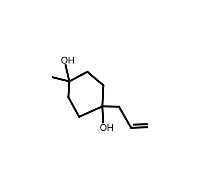 C=CCC1(O)CCC(C)(O)CC1